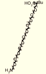 CC(C)(C)N(CCOCCOCCOCCOCCOCCOCCOCCOCCOCCOCCOCCN)C(=O)O